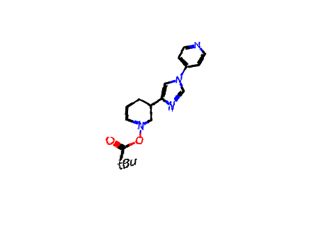 CC(C)(C)C(=O)ON1CCCC(c2cn(-c3ccncc3)cn2)C1